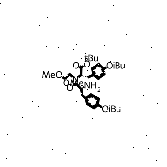 COC(CN(C(=O)[C@@H](N)Cc1ccc(OCC(C)C)cc1)[C@@H](Cc1ccc(OCC(C)C)cc1)C(=O)OC(C)(C)C)OC